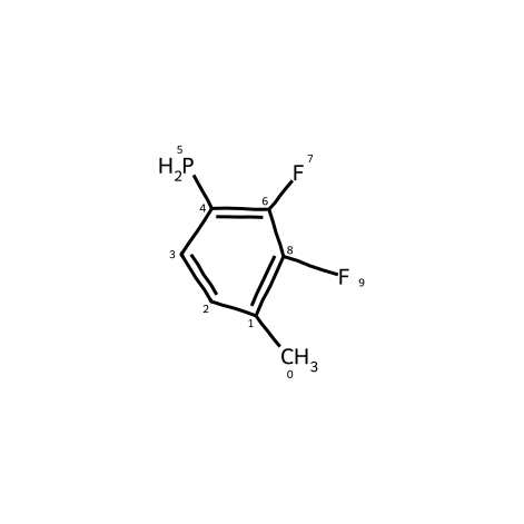 Cc1ccc(P)c(F)c1F